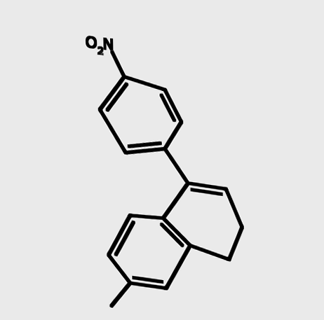 Cc1ccc2c(c1)CCC=C2c1ccc([N+](=O)[O-])cc1